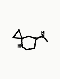 CNN1CCNC2(CC2)C1